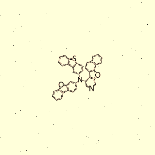 c1ccc2c(c1)ccc1c2oc2cncc(N(c3ccc4c(c3)oc3ccccc34)c3ccc4sc5ccccc5c4c3)c21